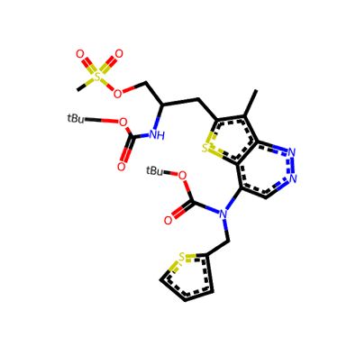 Cc1c(CC(COS(C)(=O)=O)NC(=O)OC(C)(C)C)sc2c(N(Cc3cccs3)C(=O)OC(C)(C)C)cnnc12